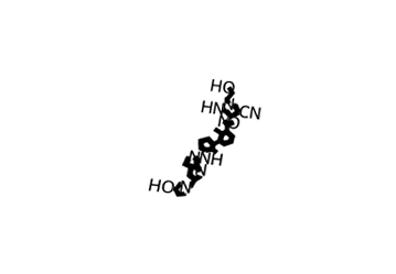 Cc1c(Nc2nccc3cc(CN4CCC(O)C4)cnc23)cccc1-c1cccc(-c2nc3c(=N)n(CCO)cc(C#N)c3o2)c1C